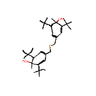 CC(C)(C)C1=CC(CSCC2=CC(C(C)(C)C)C(C)(O)C(C(C)(C)C)=C2)=CC(C(C)(C)C)C1(C)O